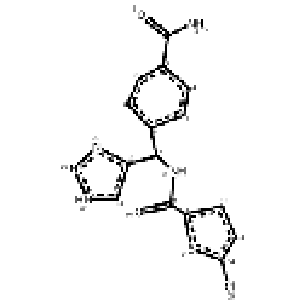 NC(=O)c1ccc(C(NC(=O)c2ccc(Cl)s2)c2c[nH]nn2)cc1